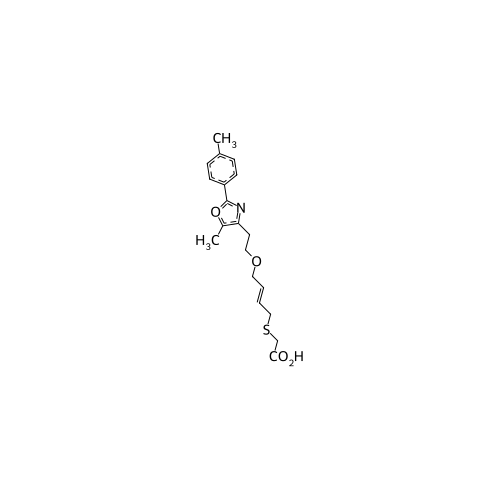 Cc1ccc(-c2nc(CCOC/C=C/CSCC(=O)O)c(C)o2)cc1